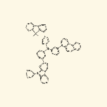 CC1(C)c2ccccc2-c2cccc(-c3ccc(N(c4cccc(-c5ccc6c7ccccc7n(-c7ccccc7)c6c5)c4)c4cccc(-c5cccc6c5ccc5ccccc56)c4)cc3)c21